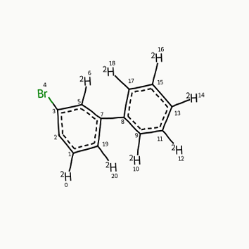 [2H]c1cc(Br)c([2H])c(-c2c([2H])c([2H])c([2H])c([2H])c2[2H])c1[2H]